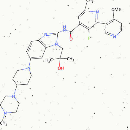 COc1ccncc1-c1nc(C)cc(C(=O)Nc2nc3ccc(N4CCC(N5CCN(C)CC5)CC4)cc3n2CC(C)(C)O)c1F